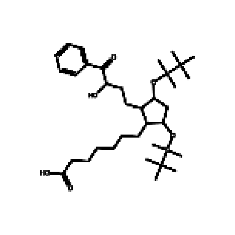 CC(C)(C)[Si](C)(C)OC1CC(O[Si](C)(C)C(C)(C)C)C(CCC(O)C(=O)c2ccccc2)C1CCCCCCC(=O)O